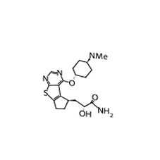 CN[C@H]1CC[C@H](Oc2ncnc3sc4c(c23)[C@@H](C[C@@H](O)C(N)=O)CC4)CC1